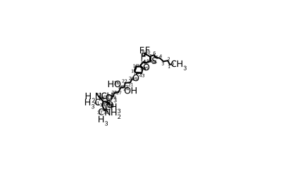 CCCCCc1cc(C(F)(F)F)c(-c2cc3ccc(OCCCC(O)C(O)CCCOC(=O)C(CC(C)(C)N)C(C)(C)N)cc3o2)s1